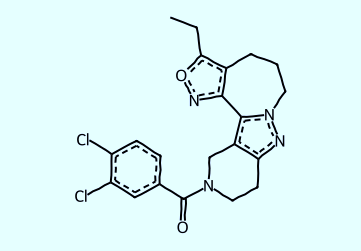 CCc1onc2c1CCCn1nc3c(c1-2)CN(C(=O)c1ccc(Cl)c(Cl)c1)CC3